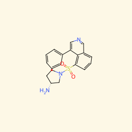 N[C@@H]1CCN(S(=O)(=O)c2cccc3cncc(-c4ccccc4)c23)C1